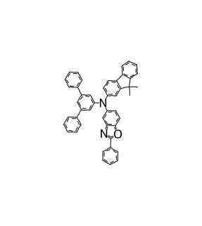 CC1(C)c2ccccc2-c2ccc(N(c3cc(-c4ccccc4)cc(-c4ccccc4)c3)c3ccc4oc(-c5ccccc5)nc4c3)cc21